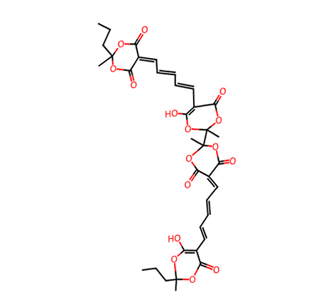 CCCC1(C)OC(=O)C(=C/C=C/C=C/C2=C(O)OC(C)(C3(C)OC(=O)C(=C/C=C/C=C/C4=C(O)OC(C)(CCC)OC4=O)C(=O)O3)OC2=O)C(=O)O1